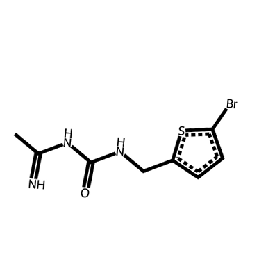 CC(=N)NC(=O)NCc1ccc(Br)s1